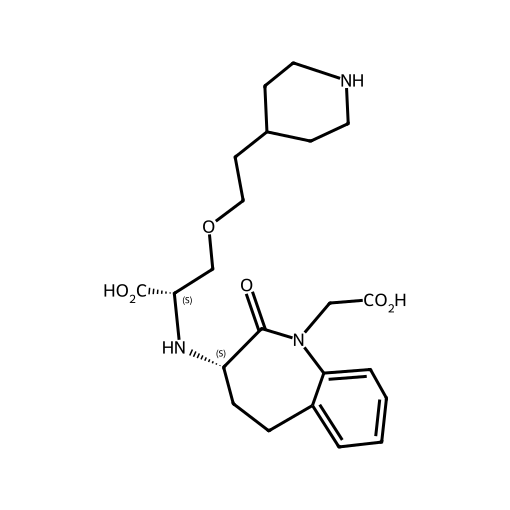 O=C(O)CN1C(=O)[C@@H](N[C@@H](COCCC2CCNCC2)C(=O)O)CCc2ccccc21